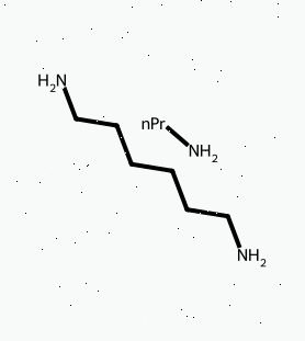 CCCN.NCCCCCCN